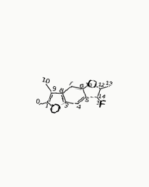 Cc1oc2cc3c(cc2c1C)OC(C)C3F